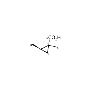 C[C@@H]1C[C@@]1(C)C(=O)O